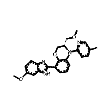 COC[C@H]1COc2c(-c3nc4ccc(OC)cc4[nH]3)cccc2N1c1ccc(C)cn1